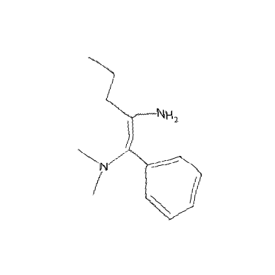 CCCC(N)=C(c1ccccc1)N(C)C